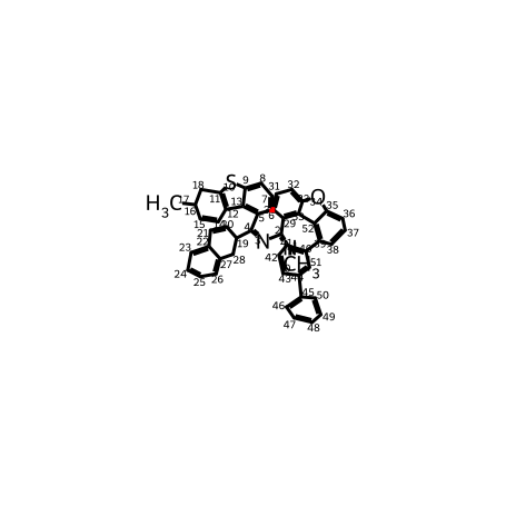 C/N=C(\N=C(/c1cccc2sc3c(c12)C=CC(C)C3)C1C=Cc2ccccc2C1)c1cccc2oc3cccc(-c4cccc(-c5ccccc5)c4)c3c12